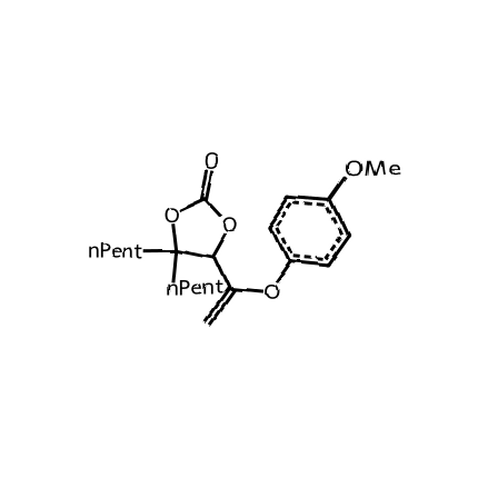 C=C(Oc1ccc(OC)cc1)C1OC(=O)OC1(CCCCC)CCCCC